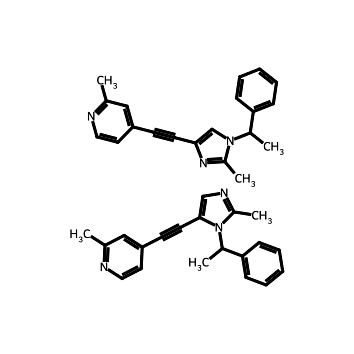 Cc1cc(C#Cc2cn(C(C)c3ccccc3)c(C)n2)ccn1.Cc1cc(C#Cc2cnc(C)n2C(C)c2ccccc2)ccn1